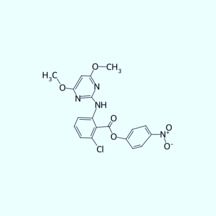 COc1cc(OC)nc(Nc2cccc(Cl)c2C(=O)Oc2ccc([N+](=O)[O-])cc2)n1